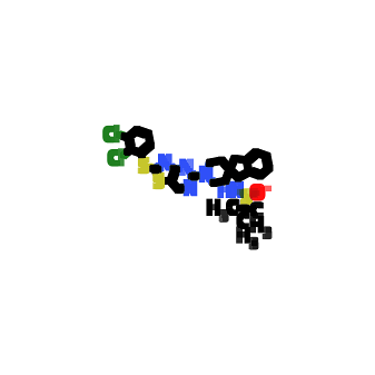 CC(C)(C)[S+]([O-])N[C@@H]1c2ccccc2CC12CCN(c1ncc3sc(Sc4cccc(Cl)c4Cl)nc3n1)CC2